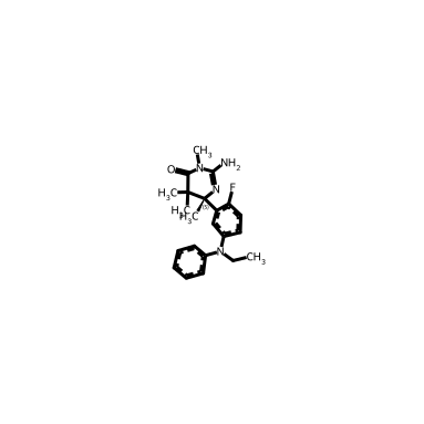 CCN(c1ccccc1)c1ccc(F)c([C@@]2(C)N=C(N)N(C)C(=O)C2(C)C)c1